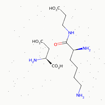 NCCCC[C@H](N)C(=O)NCCC(=O)O.N[C@@H](CC(=O)O)C(=O)O